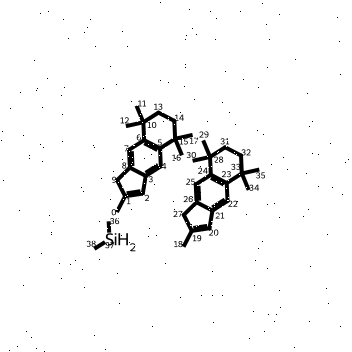 CC1=Cc2cc3c(cc2C1)C(C)(C)CCC3(C)C.CC1=Cc2cc3c(cc2C1)C(C)(C)CCC3(C)C.C[SiH2]C